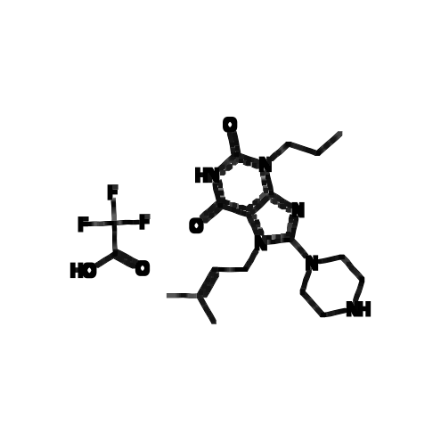 CCCn1c(=O)[nH]c(=O)c2c1nc(N1CCNCC1)n2CC=C(C)C.O=C(O)C(F)(F)F